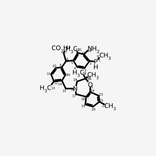 CPc1ccc(C(CC(=O)O)c2ccc(C)c(CN3Cc4ccc(C)cc4OC(C)(C)C3)c2)c(C)c1N